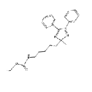 CCOC(=O)NCCCCCC1(C)N=C(c2ccccc2)C(c2ccccc2)=N1